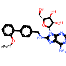 CCCCCOc1ccccc1-c1ccc(CNc2nc3c(N)ncnc3n2[C@@H]2O[C@H](CO)[C@@H](O)[C@H]2O)cc1